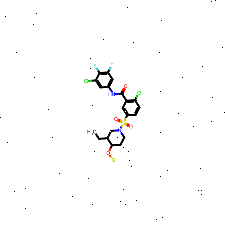 CCC1CN(S(=O)(=O)c2ccc(Cl)c(C(=O)Nc3cc(F)c(F)c(Cl)c3)c2)CCC1OS